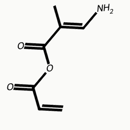 C=CC(=O)OC(=O)C(C)=CN